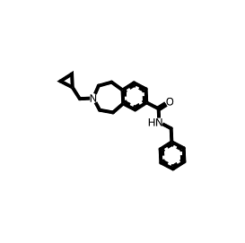 O=C(NCc1ccccc1)c1ccc2c(c1)CCN(CC1CC1)CC2